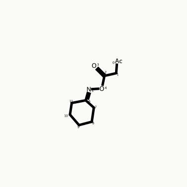 CC(=O)CC(=O)ON=C1CCCCC1